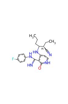 CCCC(Nc1cc[nH]c(=O)c1C(=N)Nc1ccc(F)cc1)[C@H](C#N)CC